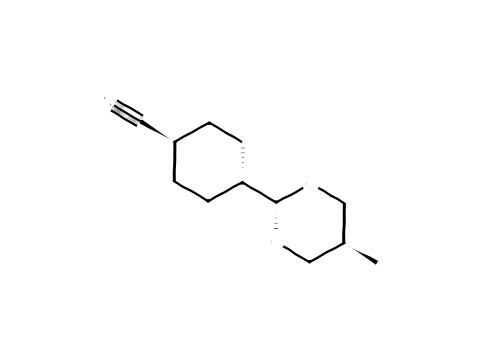 C[C@H]1CO[C@H]([C@H]2CC[C@H](C#N)CC2)OC1